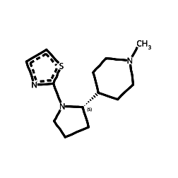 CN1CCC([C@@H]2CCCN2c2nccs2)CC1